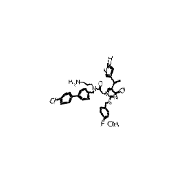 CC(c1cn[nH]c1)c1cn(CC(=O)N(CCCN)Cc2ccc(-c3ccc(Cl)cc3)cc2)c(SCc2ccc(F)cc2)nc1=O.Cl